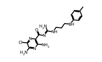 Cc1ccc(BCCCN/C(N)=N/C(=O)c2nc(Cl)c(N)nc2N)cc1